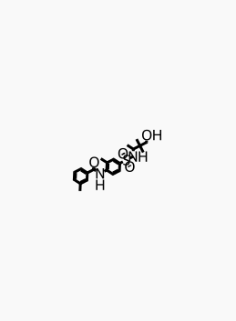 Cc1cccc(C(=O)Nc2ccc(S(=O)(=O)NC(C)C(C)(C)CO)cc2C)c1